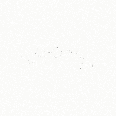 Cc1c(OC(C)C)cccc1C1CCC2(CC1)CN(C(=O)C1CC(C)(O)C1)C2